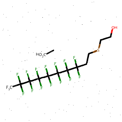 CC(=O)O.OCCSCCC(F)(F)C(F)(F)C(F)(F)C(F)(F)C(F)(F)C(F)(F)C(F)(F)C(F)(F)F